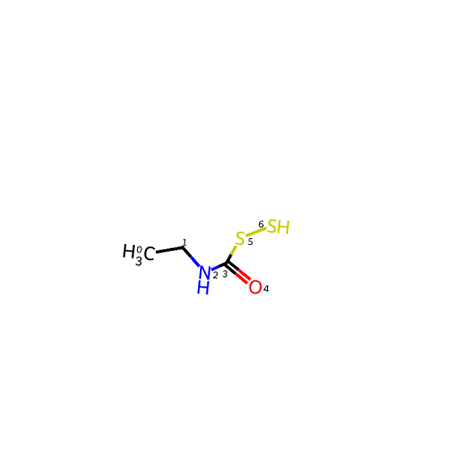 CCNC(=O)SS